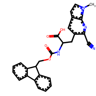 Cn1ccc2cc(CC(NC(=O)OCC3c4ccccc4-c4ccccc43)C(=O)O)c(C#N)nc21